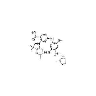 COc1cc(N(C)C[C@@H]2CCCN2C)c(N)cc1Nc1ncc(C(=O)O)c(N2CC(C)(C)c3nc(C)ccc32)n1